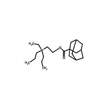 CCC[N+](CC)(CCC)CCOC(=O)C12CC3CC(CC(C3)C1)C2